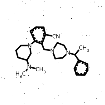 CC(c1ccccc1)N1CCN(Cc2c(C#N)cccc2N2CCCC(N(C)C)C2)CC1